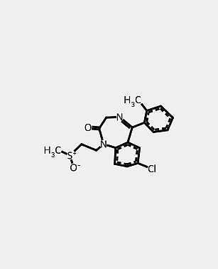 Cc1ccccc1C1=NCC(=O)N(CC[S+](C)[O-])c2ccc(Cl)cc21